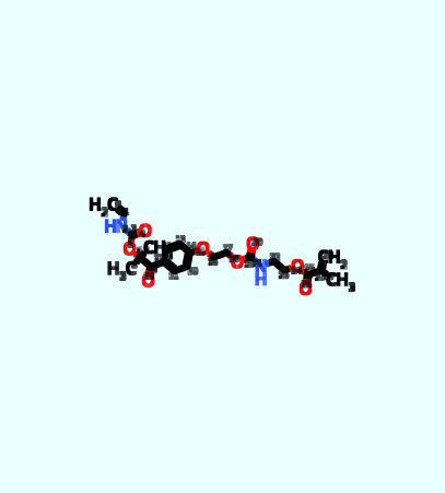 C=CNC(=O)OC(C)(C)C(=O)c1ccc(OCCOC(=O)NCCOC(=O)C(=C)C)cc1